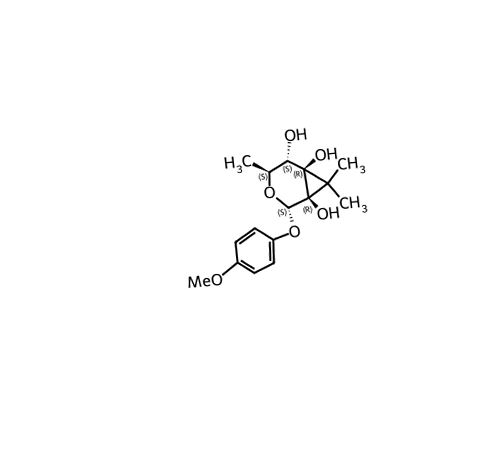 COc1ccc(O[C@@H]2O[C@@H](C)[C@H](O)[C@]3(O)C(C)(C)[C@]23O)cc1